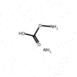 NOC(=O)O.[AlH3]